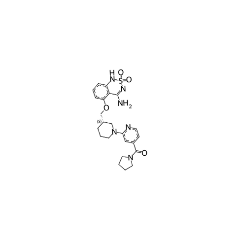 NC1=NS(=O)(=O)Nc2cccc(OC[C@H]3CCCN(c4cc(C(=O)N5CCCC5)ccn4)C3)c21